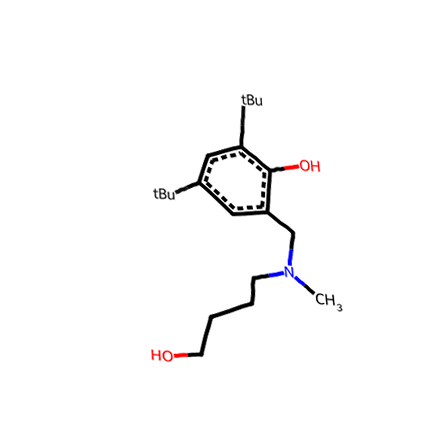 CN(CCCCO)Cc1cc(C(C)(C)C)cc(C(C)(C)C)c1O